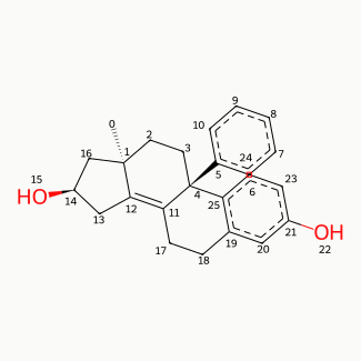 C[C@]12CC[C@@]3(c4ccccc4)C(=C1C[C@@H](O)C2)CCc1cc(O)ccc13